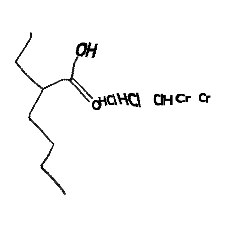 CCCCC(CC)C(=O)O.Cl.Cl.Cl.[Cr].[Cr]